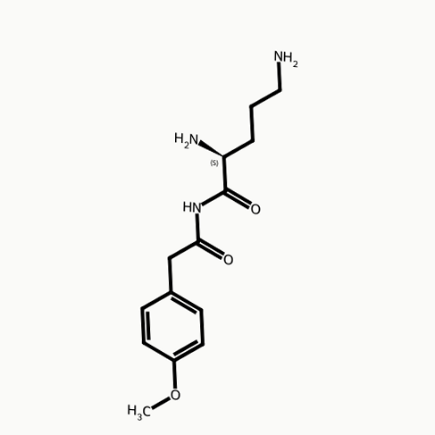 COc1ccc(CC(=O)NC(=O)[C@@H](N)CCCN)cc1